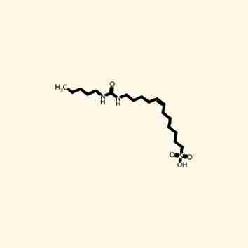 CCCCCNC(=O)NCCCC/C=C\CCCCCCS(=O)(=O)O